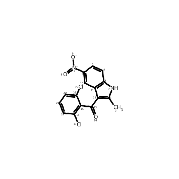 Cc1[nH]c2ccc([N+](=O)[O-])cc2c1C(=O)c1c(Cl)cccc1Cl